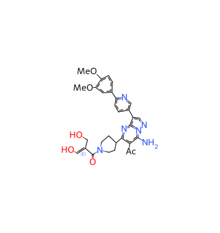 COc1ccc(-c2ccc(-c3cnn4c(N)c(C(C)=O)c(C5CCN(C(=O)/C(=C/O)CO)CC5)nc34)cn2)cc1OC